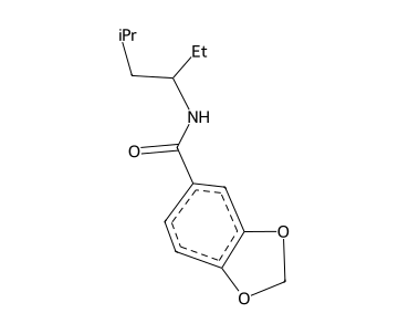 CCC(CC(C)C)NC(=O)c1ccc2c(c1)OCO2